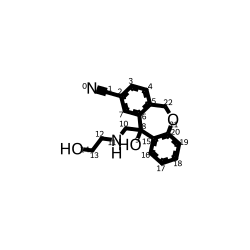 N#Cc1ccc2c(c1)C(O)(CNCCO)c1ccccc1OC2